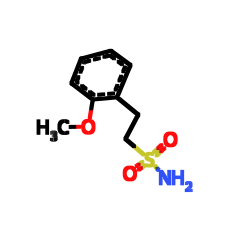 COc1ccccc1CCS(N)(=O)=O